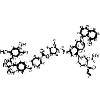 C=CC(=O)N1CCN(c2nc(OC[C@@H]3C[C@@H](OC(=O)N4CCN(Cc5ccc(-n6c(O)nnc6-c6cc(CC)c(O)cc6O)cc5)CC4)CN3C)nc3c2CCN(c2cccc4cccc(Cl)c24)C3)C[C@@H]1CC#N